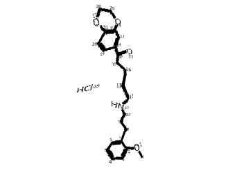 COc1ccccc1CCCNCCCCC(=O)c1ccc2c(c1)OCCO2.Cl